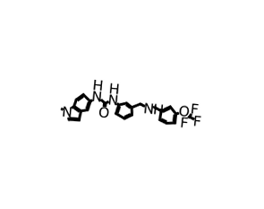 Cn1ccc2cc(NC(=O)Nc3cccc(CNCc4cccc(OC(F)(F)F)c4)c3)ccc21